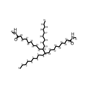 CCCCCCCCCC(CCCCCCCCC(=O)NC)C(CCCCCCCCC)CCCCCCCCC(=O)NC